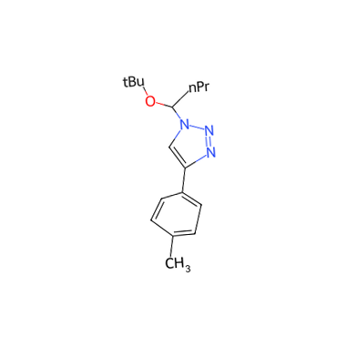 CCCC(OC(C)(C)C)n1cc(-c2ccc(C)cc2)nn1